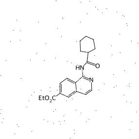 CCOC(=O)c1ccc2c(NC(=O)C3CCCCC3)nccc2c1